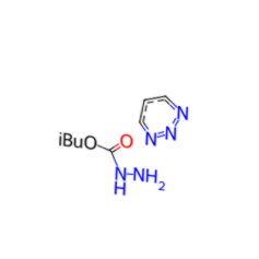 CC(C)COC(=O)NN.c1cnnnc1